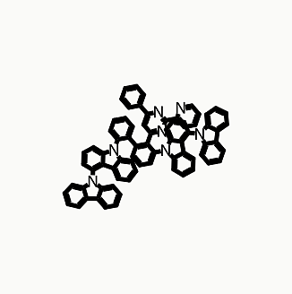 c1ccc(-c2cc(-c3c(-c4ccccc4-n4c5ccccc5c5c(-n6c7ccccc7c7ccccc76)cccc54)cccc3-n3c4ccccc4c4c(-n5c6ccccc6c6ccccc65)cccc43)nc(-c3ccccn3)n2)cc1